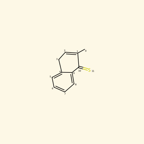 CC1=CCc2ccccc2C1=S